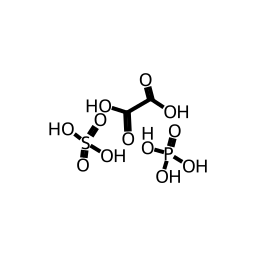 O=C(O)C(=O)O.O=P(O)(O)O.O=S(=O)(O)O